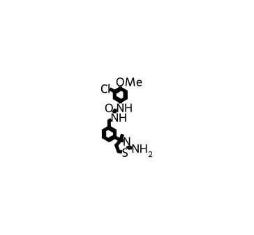 COc1ccc(NC(=O)NCc2cccc(C3(C)CCSC(N)=N3)c2)cc1Cl